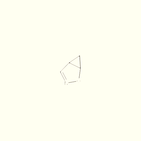 C1=NOC2CC12